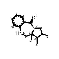 CC1CN2C(=O)c3ccccc3NCC2(C)C1C